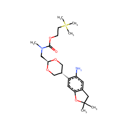 CN(C[C@H]1OC[C@H](c2cc3c(cc2N)CC(C)(C)O3)CO1)C(=O)OCCS(C)(C)C